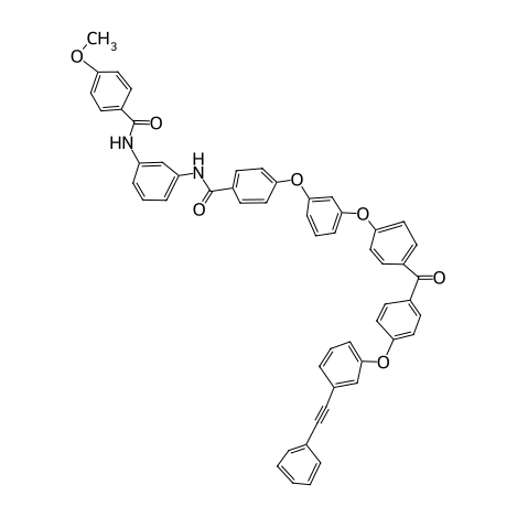 COc1ccc(C(=O)Nc2cccc(NC(=O)c3ccc(Oc4cccc(Oc5ccc(C(=O)c6ccc(Oc7cccc(C#Cc8ccccc8)c7)cc6)cc5)c4)cc3)c2)cc1